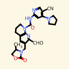 CC1COC(=O)N1Cc1cc2c(nc1C=O)N(C(=O)Nc1cc(N3CCCC3)c(C#N)cn1)CCC2